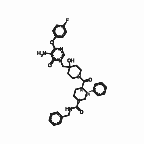 Nc1c(Oc2ccc(F)cc2)ncn(CC2(O)CCN(C(=O)[C@@H]3CCN(C(=O)NCc4ccccc4)C[C@H]3c3ccccc3)CC2)c1=O